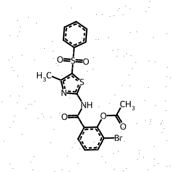 CC(=O)Oc1c(Br)cccc1C(=O)Nc1nc(C)c(S(=O)(=O)c2ccccc2)s1